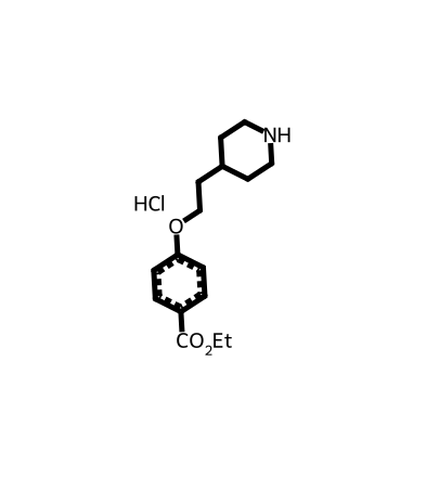 CCOC(=O)c1ccc(OCCC2CCNCC2)cc1.Cl